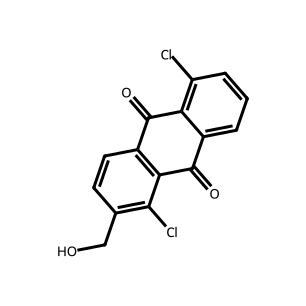 O=C1c2ccc(CO)c(Cl)c2C(=O)c2cccc(Cl)c21